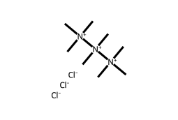 C[N+](C)(C)[N+](C)(C)[N+](C)(C)C.[Cl-].[Cl-].[Cl-]